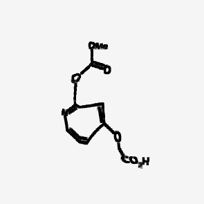 COC(=O)Oc1cc(OC(=O)O)ccn1